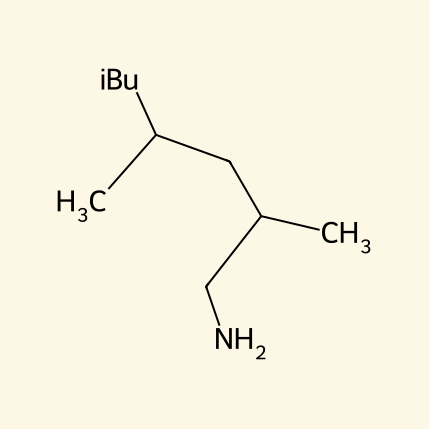 CCC(C)C(C)CC(C)CN